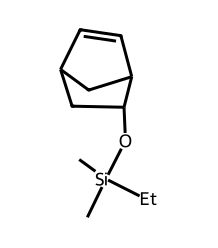 CC[Si](C)(C)OC1CC2C=CC1C2